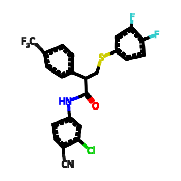 N#Cc1ccc(NC(=O)C(CSc2ccc(F)c(F)c2)c2ccc(C(F)(F)F)cc2)cc1Cl